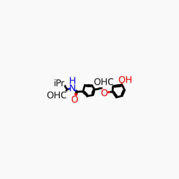 CC(C)C(C=O)NC(=O)c1ccc(COc2cccc(O)c2C=O)cc1